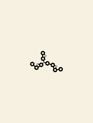 c1ccc(-c2cccc3c2oc2cc(N(c4ccc(-c5ccc6oc7c(-c8ccccc8)cccc7c6c5)cc4)c4ccc5c(c4)oc4ccccc45)ccc23)cc1